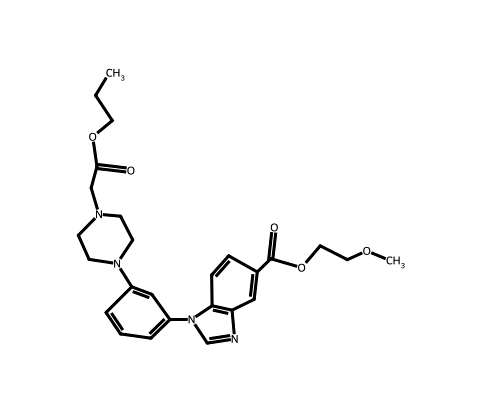 CCCOC(=O)CN1CCN(c2cccc(-n3cnc4cc(C(=O)OCCOC)ccc43)c2)CC1